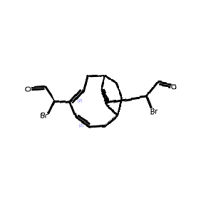 O=CC(Br)C1=C\CC2CCC(C/C=C\1)c1cc(C(Br)C=O)ccc12